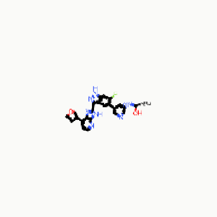 CCCCC(O)Nc1cncc(-c2cc3c(-c4nc5c(-c6ccoc6)ccnc5[nH]4)n[nH]c3cc2F)c1